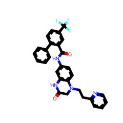 O=C1CN(CCc2ccccn2)c2ccc(NC(=O)c3cc(C(F)(F)F)ccc3-c3ccccc3)cc2N1